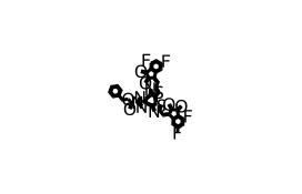 O=C1C(=O)c2c(F)cc(F)cc2/C1=C/c1nc2c3nn(C(=O)OCc4ccccc4)nc3c3nc(/C=C4\C(=O)C(=O)c5c(F)cc(F)cc54)sc3c2s1